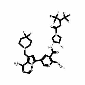 COc1ncc(-c2cc(CN3CCC(F)(F)CC3)c3c(N)ncnn23)cc1C(=O)N[C@@H]1CN(C(=O)CC(C(F)(F)F)C(F)(F)F)C[C@@H]1F